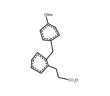 CCOC(=O)CCc1ccccc1Cc1ccc(OC)cc1